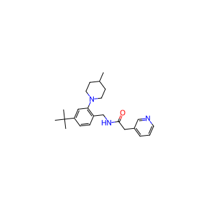 CC1CCN(c2cc(C(C)(C)C)ccc2CNC(=O)Cc2cccnc2)CC1